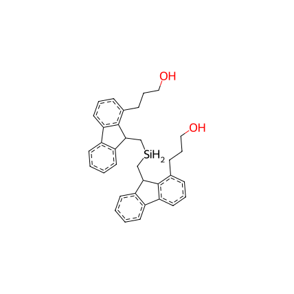 OCCCc1cccc2c1C(C[SiH2]CC1c3ccccc3-c3cccc(CCCO)c31)c1ccccc1-2